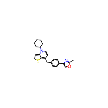 Cc1nc(-c2ccc(CC3=C4SCC=C4N(C4CCCCC4)C=C3)cc2)co1